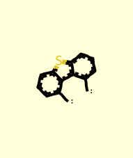 [CH]c1cccc2sc3cccc([CH])c3c12